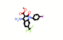 COC(=O)c1c(N)c2ccc(C(F)(F)F)cc2n(-c2ccc(I)cc2)c1=O